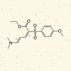 CCOC(=O)/C(=C\C=C\N(C)C)S(=O)(=O)c1ccc(OC)cc1